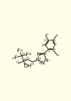 Cc1cc(C)c(-c2nnn(CCC(C)(O)C(F)(F)F)n2)cc1C